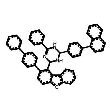 c1ccc(C2=NC(c3c(-c4ccc(-c5ccccc5)cc4)ccc4oc5ccccc5c34)NC(c3ccc(-c4cccc5ccccc45)cc3)N2)cc1